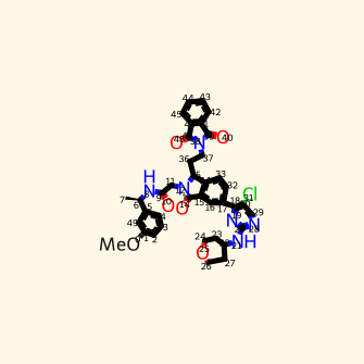 COc1cccc([C@@H](C)NC(=O)CN2C(=O)c3cc(-c4nc(NC5CCOCC5)ncc4Cl)ccc3C2CCN2C(=O)c3ccccc3C2=O)c1